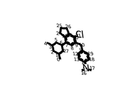 CC1CC(C)CC(c2cc(Cc3ccc(N(C)C)cc3)c(Cl)c3c2CCC3)C1